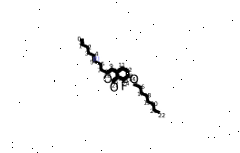 C=CCC/C=C/CCc1cc2ccc(OCCCCCCCC)c(F)c2c(=O)o1